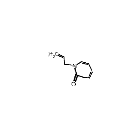 C=CCn1c[c]ccc1=O